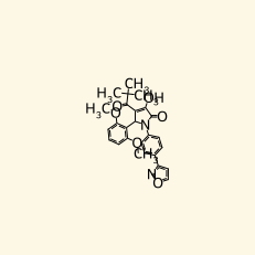 COc1cccc(OC)c1C1C(C(=O)C(C)(C)C)=C(O)C(=O)N1c1ccc(-c2ccon2)cc1